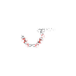 COc1ccc(C2(c3ccc(Oc4ccc(S(=O)(=O)c5ccc(Oc6ccc(-c7ccc(Oc8ccc(S(=O)(=O)c9ccc(C)cc9)cc8)cc7)cc6)cc5)cc4)cc3)CCCCC2)cc1